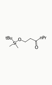 CCCC(=O)CCO[Si](C)(C)C(C)(C)C